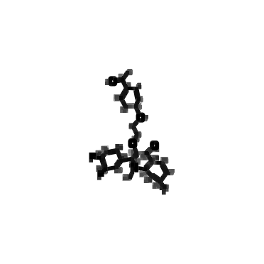 CC(=O)c1ccc(OCCOc2c(-c3ccc(F)c(F)c3)n(C)c3cc(F)ccc3c2=O)cc1